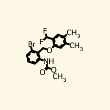 COC(=O)Nc1cccc(Br)c1COc1cc(C)c(C)cc1C(F)F